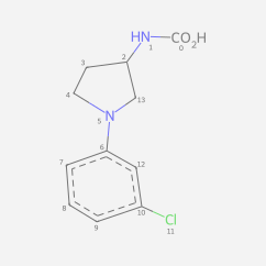 O=C(O)NC1CCN(c2cccc(Cl)c2)C1